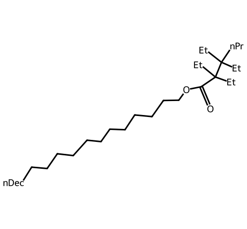 CCCCCCCCCCCCCCCCCCCCCCOC(=O)C(CC)(CC)C(CC)(CC)CCC